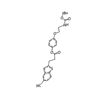 CC(C)(C)OC(=O)NCCOc1ccc(OC(=O)CCc2cc3cc(C#N)ccc3s2)cc1